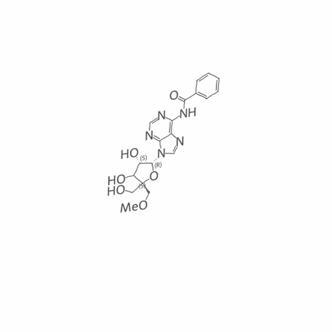 COC[C@]1(CO)O[C@@H](n2cnc3c(NC(=O)c4ccccc4)ncnc32)[C@@H](O)C1O